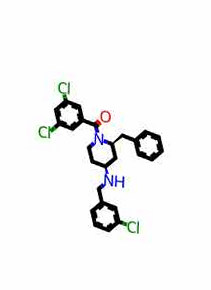 O=C(c1cc(Cl)cc(Cl)c1)N1CC[C@H](NCc2cccc(Cl)c2)C[C@@H]1Cc1ccccc1